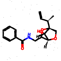 C=C[C@H](C)[C@@]12CO[C@@H](C(CNC(=O)c3ccccc3)O1)[C@@H]2O